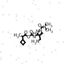 CC(C(=O)OC(=O)Nc1nn(C(=O)N(C)C)cc1CN)C1CCC1